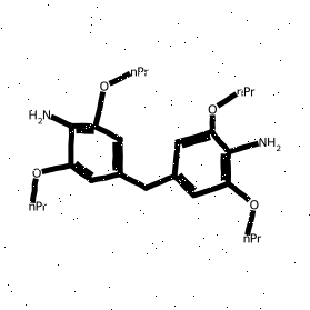 CCCOc1cc(Cc2cc(OCCC)c(N)c(OCCC)c2)cc(OCCC)c1N